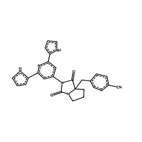 N#Cc1ccc(CC23CCCN2C(=O)N(c2cc(-c4ccc[nH]4)nc(-c4ccc[nH]4)c2)C3=O)cc1